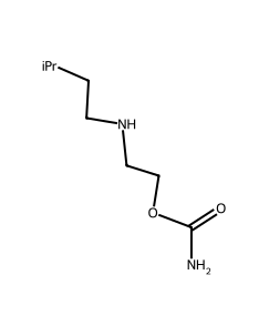 CC(C)CCNCCOC(N)=O